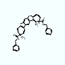 CC1(C(=O)OCc2ccccc2)C=Cc2oc3cc4oc5c(c4cc3c2C=C1)=CC(C)(C(=O)OCc1ccccc1)C=CC=5